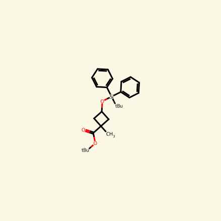 CC(C)(C)OC(=O)C1(C)CC(O[Si](c2ccccc2)(c2ccccc2)C(C)(C)C)C1